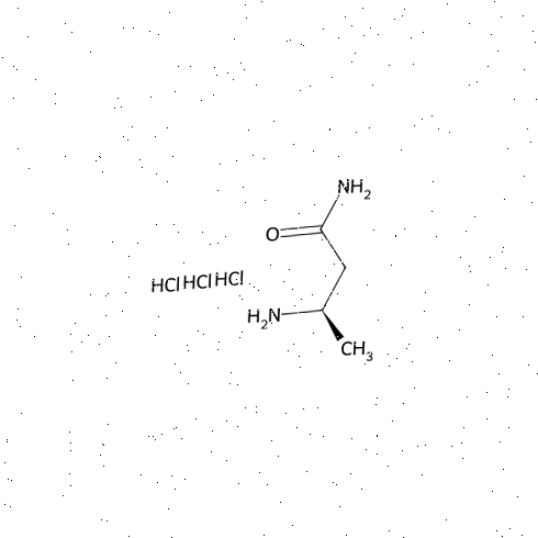 C[C@@H](N)CC(N)=O.Cl.Cl.Cl